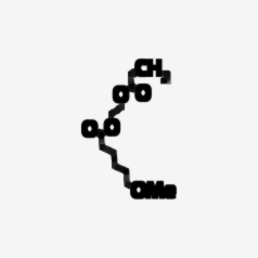 C=CC(=O)OCCOC(=O)CCCCCOC